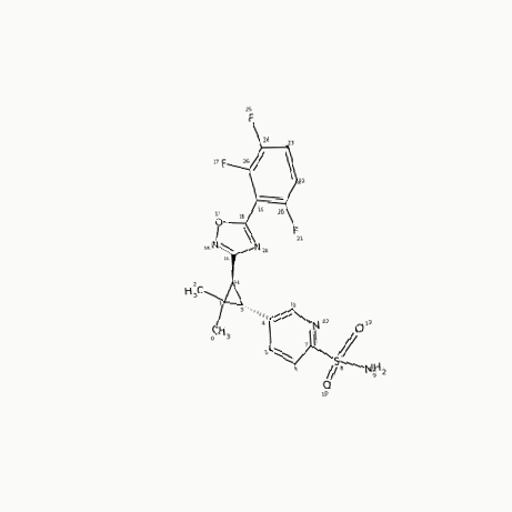 CC1(C)[C@@H](c2ccc(S(N)(=O)=O)nc2)[C@@H]1c1noc(-c2c(F)ccc(F)c2F)n1